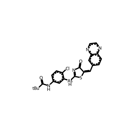 CC(C)(C)C(=O)Nc1ccc(Cl)c([AsH]C2=NC(=O)C(=Cc3ccc4nccnc4c3)S2)c1